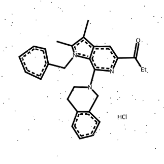 CCC(=O)c1cc2c(C)c(C)n(Cc3ccccc3)c2c(N2CCc3ccccc3C2)n1.Cl